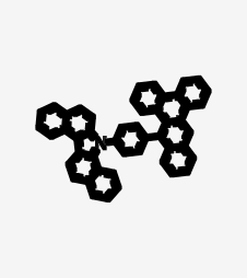 c1ccc2c(-c3ccc(-n4c5ccc6ccccc6c5c5ccc6ccccc6c54)cc3)c3c4ccccc4c4ccccc4c3cc2c1